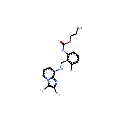 CSCCOC(=O)Nc1cccc(C)c1CNc1cccn2c(C)c(C)nc12